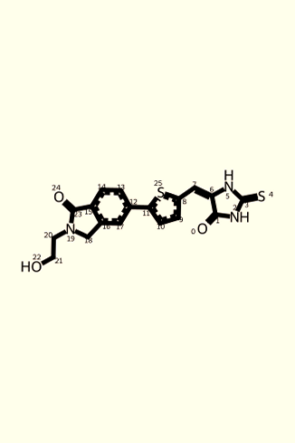 O=C1NC(=S)NC1=Cc1ccc(-c2ccc3c(c2)CN(CCO)C3=O)s1